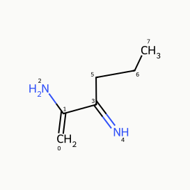 C=C(N)C(=N)CCC